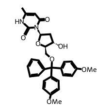 COc1ccc(C(OC[C@H]2O[C@@H](n3c(=O)cc(C)[nH]c3=O)C[C@@H]2O)(c2ccccc2)c2ccc(OC)cc2)cc1